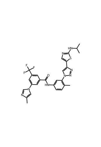 Cc1cn(-c2cc(C(=O)Nc3ccc(C)c(-n4cc(-c5cnc(NC(C)C)s5)nn4)c3)cc(C(F)(F)F)c2)cn1